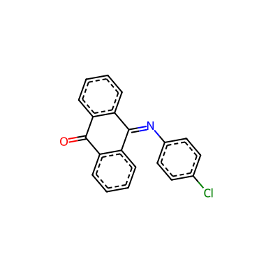 O=C1c2ccccc2C(=Nc2ccc(Cl)cc2)c2ccccc21